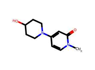 Cn1ccc(N2CCC(O)CC2)cc1=O